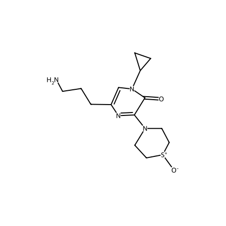 NCCCc1cn(C2CC2)c(=O)c(N2CC[S+]([O-])CC2)n1